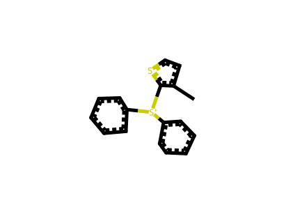 Cc1ccsc1[S+](c1ccccc1)c1ccccc1